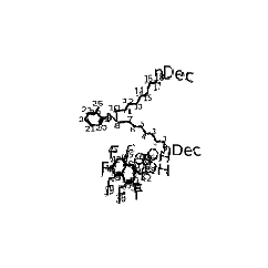 CCCCCCCCCCCCCCCCCCN(CCCCCCCCCCCCCCCCCC)c1ccccc1C.OB(O)Oc1c(F)c(F)c(F)c2c(F)c(F)c(F)c(F)c12